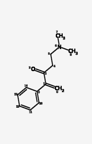 C=C(C(=O)CCN(C)C)c1ccccc1